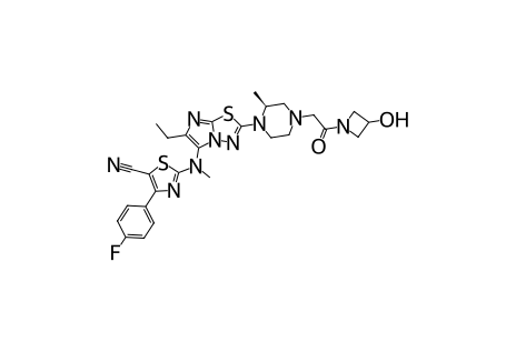 CCc1nc2sc(N3CCN(CC(=O)N4CC(O)C4)C[C@@H]3C)nn2c1N(C)c1nc(-c2ccc(F)cc2)c(C#N)s1